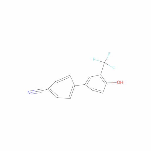 N#Cc1ccc(-c2ccc(O)c(C(F)(F)F)c2)cc1